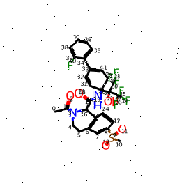 CC(=O)N1CCc2cc(S(C)(=O)=O)ccc2C1C(=O)NC1(C(O)(C(F)(F)F)C(F)(F)F)C=CC(c2ccccc2F)=CC1